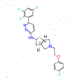 Fc1ccc(OCCN2C[C@H]3CC(Nc4ccc(-c5cc(F)cc(F)c5F)nn4)C[C@H]3C2)cc1